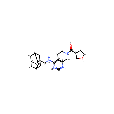 O=C(C1CCOC1)N1CCc2c(ncnc2NCC23CC4CC(CC(C4)C2)C3)C1